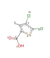 Cc1c(C(=O)O)sc(Cl)c1Cl